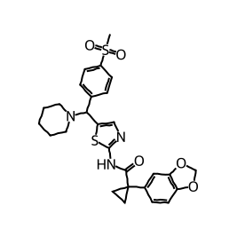 CS(=O)(=O)c1ccc(C(c2cnc(NC(=O)C3(c4ccc5c(c4)OCO5)CC3)s2)N2CCCCC2)cc1